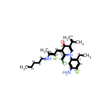 C=C(C)c1cn(-c2cc(N)c(F)cc2CC)c(=C\Cl)/c(=C\C(F)=C(/C)NCCCCC)c1=O